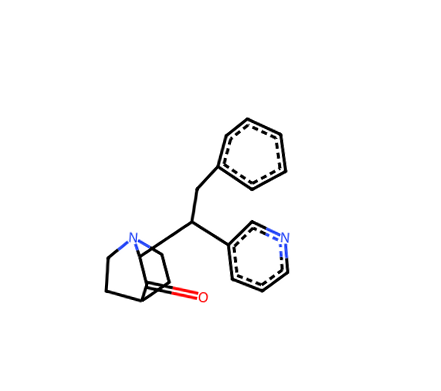 O=C1C2CCN(CC2)C1C(Cc1ccccc1)c1cccnc1